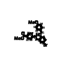 CCN(Cc1cc(Br)ccc1OCc1ccc(OC)cc1)c1ccc(C(=O)OC)cn1